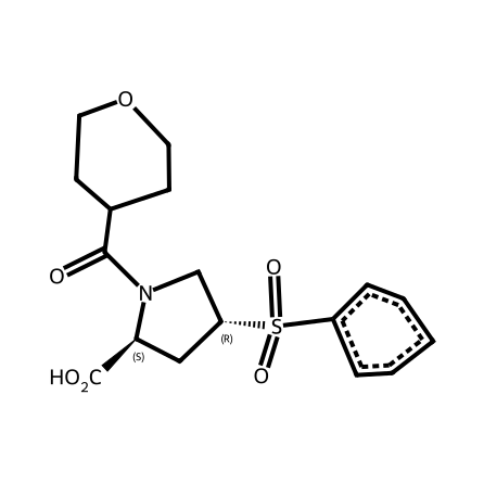 O=C(O)[C@@H]1C[C@@H](S(=O)(=O)c2ccccc2)CN1C(=O)C1CCOCC1